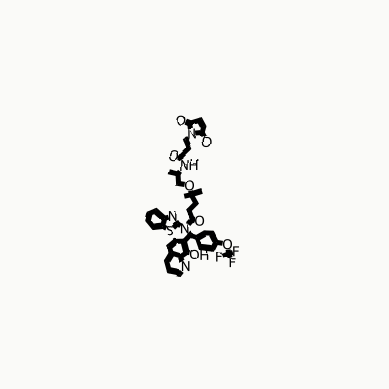 CC(COC(C)(C)CCC(=O)N(c1nc2ccccc2s1)C(c1ccc(OC(F)(F)F)cc1)c1ccc2cccnc2c1O)NC(=O)CCN1C(=O)C=CC1=O